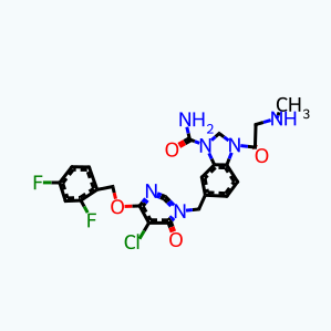 CNCC(=O)N1CN(C(N)=O)c2cc(Cn3cnc(OCc4ccc(F)cc4F)c(Cl)c3=O)ccc21